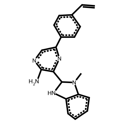 C=Cc1ccc(-c2cnc(N)c(C3Nc4ccccc4N3C)n2)cc1